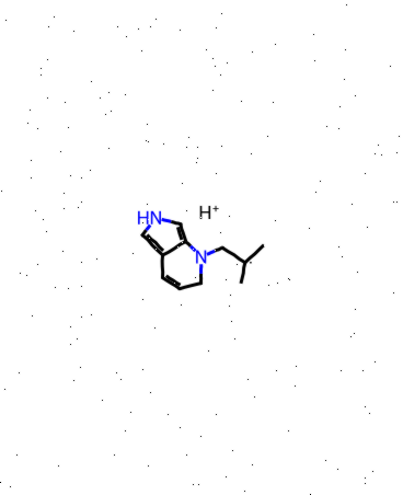 C[C](C)CN1CC=Cc2c[nH]cc21.[H+]